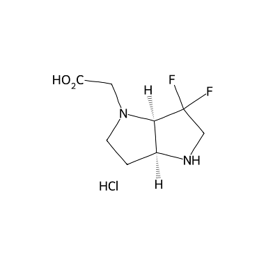 Cl.O=C(O)CN1CC[C@@H]2NCC(F)(F)[C@@H]21